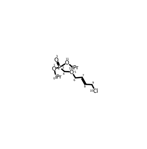 CC(C)OP(=O)(COCC=CCCl)OC(C)C